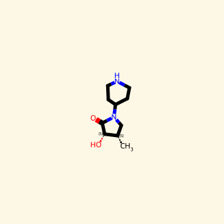 C[C@H]1CN(C2CCNCC2)C(=O)[C@H]1O